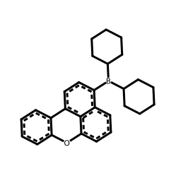 c1ccc2c(c1)Oc1cccc3c(B(C4CCCCC4)C4CCCCC4)ccc-2c13